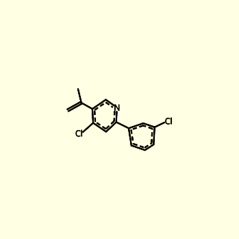 C=C(C)c1cnc(-c2cccc(Cl)c2)cc1Cl